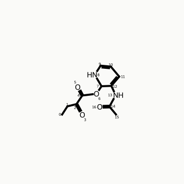 CCC(=O)C(=O)OC1NC=CC=C1NC(C)=O